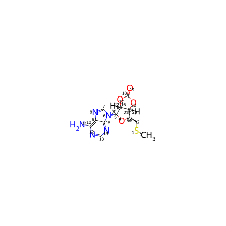 CSC[C@H]1O[C@@H](n2cnc3c(N)ncnc32)[C@@H]2OC(=O)O[C@@H]21